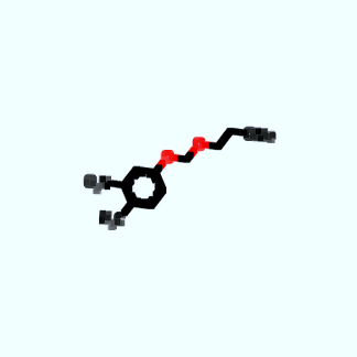 COCCOCOc1ccc(C)c([N+](=O)[O-])c1